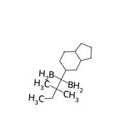 BC(B)(C1CCC2CCCC2C1)C(C)(C)CC